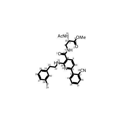 COC(=O)[C@H](CNC(=O)c1ccc(-c2ccccc2C#N)nc1NCCc1cccc(F)c1)NC(C)=O